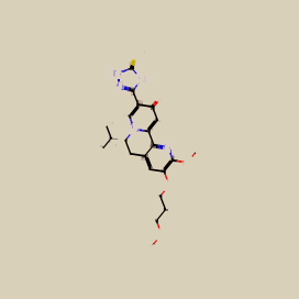 COCCCOc1cc2c(nc1OC)-c1cc(=O)c(-c3n[nH]c(=S)[nH]3)cn1[C@H](C(C)C)C2